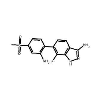 CS(=O)(=O)c1ccc(-c2ccc3c(N)n[nH]c3c2F)c(N)c1